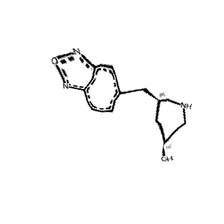 O[C@@H]1CN[C@H](Cc2ccc3nonc3c2)C1